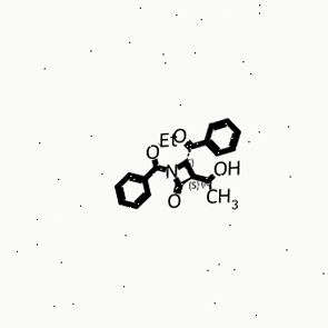 CCOC(c1ccccc1)N1C(=O)[C@H]([C@@H](C)O)[C@H]1C(=O)c1ccccc1